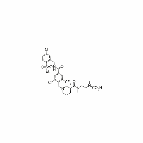 CCS(=O)(=O)c1ccc(Cl)cc1CNC(=O)c1cc(Cl)c(CN2CCC[C@H](C(=O)NCCN(C)C(=O)O)C2)c(C(F)(F)F)c1